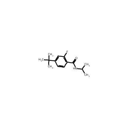 CC(C)NC(=O)c1ccc(C(C)(C)C)cc1F